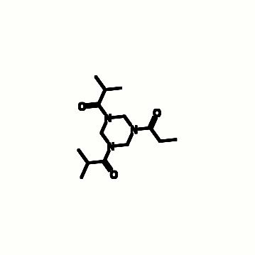 CCC(=O)N1CN(C(=O)C(C)C)CN(C(=O)C(C)C)C1